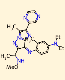 CCN(CC)c1ccc(/N=C2/C(C(C)NOC)=Nn3c2nc(-c2cnccn2)c3C)c(C)c1